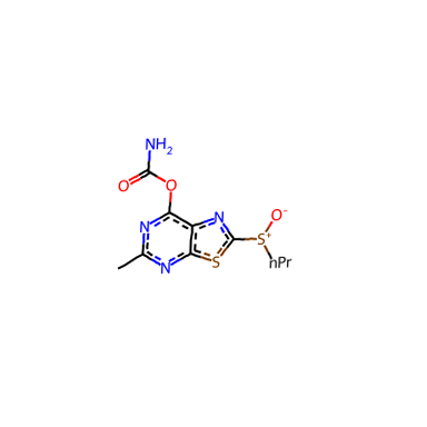 CCC[S+]([O-])c1nc2c(OC(N)=O)nc(C)nc2s1